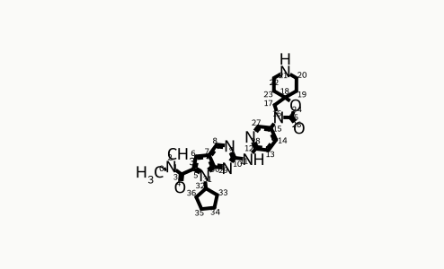 CN(C)C(=O)c1cc2cnc(Nc3ccc(N4CC5(CCNCC5)OC4=O)cn3)nc2n1C1CCCC1